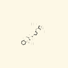 Cc1noc(C)c1Cc1ccc(C(=O)N[C@H]2COc3ccccc3N(C)C2=O)s1